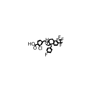 CC(F)(c1ccc2c(c1)CC[C@H]1N(Cc3ccc(C(=O)O)c(Cl)c3)CC[C@@]21Cc1ccc(F)cc1)C(F)(F)F